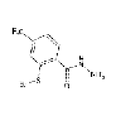 CCSc1cc(C(F)(F)F)ccc1C(=O)NN